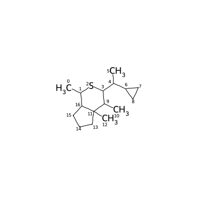 CC1SC(C(C)C2CC2)C(C)C2(C)CCCC12